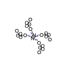 O=C(OC(=O)c1ccc(/C=C/c2nc(/C=C/c3ccc(C(=O)OC(=O)c4ccccc4)cc3)c(/C=C/c3ccc(C(=O)OC(=O)c4ccccc4)cc3)nc2/C=C/c2ccc(C(=O)OC(=O)c3ccccc3)cc2)cc1)c1ccccc1